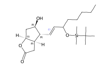 CCCCCC(/C=C/[C@@H]1[C@H]2CC(=O)O[C@H]2C[C@H]1O)O[Si](C)(C)C(C)(C)C